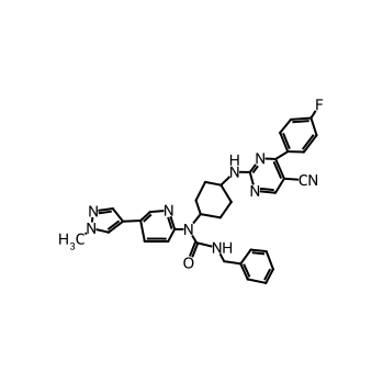 Cn1cc(-c2ccc(N(C(=O)NCc3ccccc3)C3CCC(Nc4ncc(C#N)c(-c5ccc(F)cc5)n4)CC3)nc2)cn1